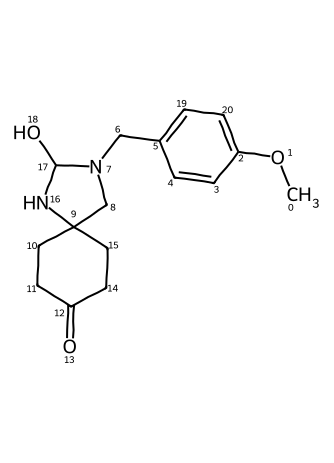 COc1ccc(CN2CC3(CCC(=O)CC3)NC2O)cc1